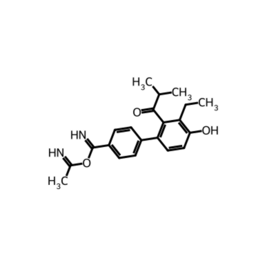 CCc1c(O)ccc(-c2ccc(C(=N)OC(C)=N)cc2)c1C(=O)C(C)C